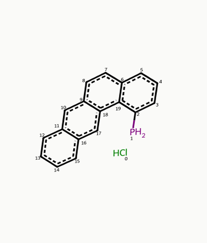 Cl.Pc1cccc2ccc3cc4ccccc4cc3c12